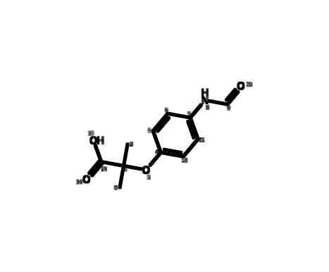 CC(C)(Oc1ccc(NC=O)cc1)C(=O)O